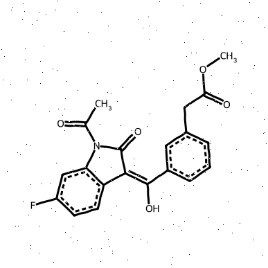 COC(=O)Cc1cccc(C(O)=C2C(=O)N(C(C)=O)c3cc(F)ccc32)c1